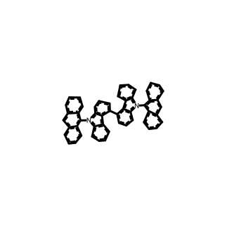 c1ccc2c(-n3c4ccccc4c4c(-c5cccc6c5c5ccccc5n6-c5c6ccccc6cc6ccccc56)cccc43)c3ccccc3cc2c1